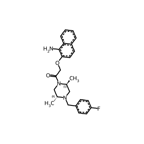 C[C@@H]1CN(C(=O)COc2ccc3ccccc3c2N)[C@@H](C)CN1Cc1ccc(F)cc1